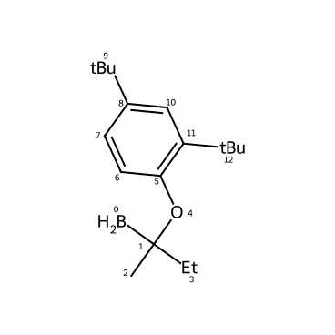 BC(C)(CC)Oc1ccc(C(C)(C)C)cc1C(C)(C)C